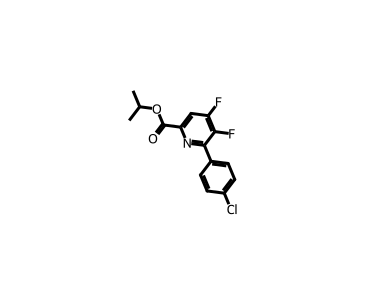 CC(C)OC(=O)c1cc(F)c(F)c(-c2ccc(Cl)cc2)n1